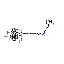 CC/C=C\CCC/C=C\CCCCCCCCCCCCCC(O)(C[N+](C)(C)C)P(=O)(O)O